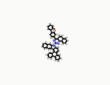 c1ccc2cc3c(cc2c1)c1c2c4ccccc4c4ccccc4c2ccc1n3-c1nc(-c2ccc3c(c2)sc2ccccc23)c2ccc3ccccc3c2n1